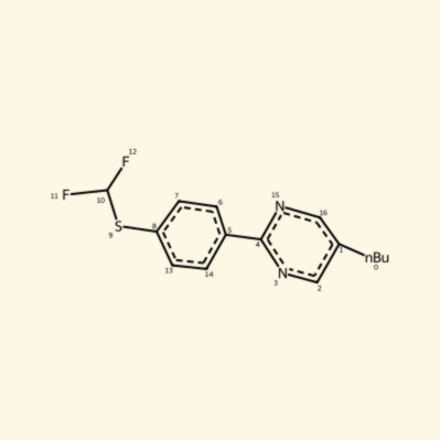 CCCCc1cnc(-c2ccc(SC(F)F)cc2)nc1